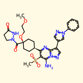 COCCO[C@]1(C(=O)N2CCC(=O)N2)CC[C@H](c2nc3c(-c4cnn(-c5ccccc5)c4)cnn3c(N)c2S(C)(=O)=O)CC1